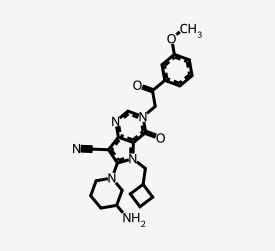 COc1cccc(C(=O)Cn2cnc3c(C#N)c(N4CCCC(N)C4)n(CC4CCC4)c3c2=O)c1